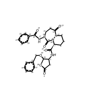 O=C1CC(NC(=O)[C@@H]2CCCN3C(=O)CCN(NC(=O)c4ccccc4)C(=O)N23)C(OCc2ccccc2)O1